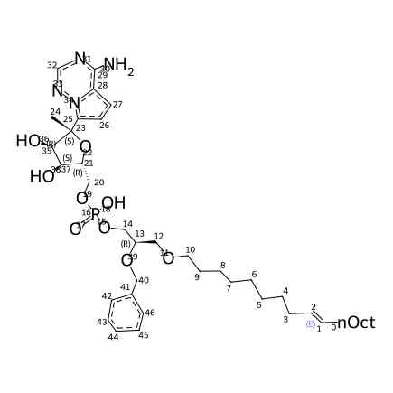 CCCCCCCC/C=C/CCCCCCCCOC[C@H](COP(=O)(O)OC[C@H]1O[C@@](C)(c2ccc3c(N)ncnn23)[C@H](O)[C@@H]1O)OCc1ccccc1